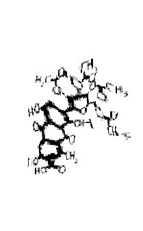 CC(=O)OC[C@H]1OC(c2cc(O)c3c(c2O)C(=O)c2c(cc(O)c(C(=O)O)c2C)C3=O)[C@H](OC(C)=O)[C@@H](OC(C)=O)[C@@H]1OC(C)=O